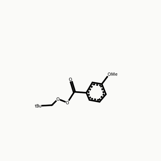 COc1cccc(C(=O)OO[CH]C(C)(C)C)c1